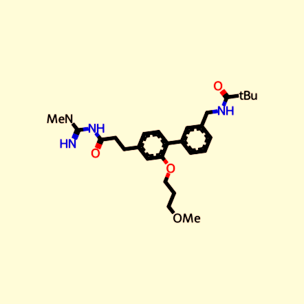 CNC(=N)NC(=O)CCc1ccc(-c2cccc(CNC(=O)C(C)(C)C)c2)c(OCCCOC)c1